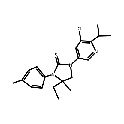 CCC1(C)CN(c2cnc(C(C)C)c(Cl)c2)C(=S)N1c1ccc(C)cc1